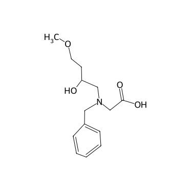 COCCC(O)CN(CC(=O)O)Cc1ccccc1